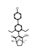 CCc1cc(-c2ccc(Cl)cc2)cc(CC)c1C1=C(O)[C@@]2(C)CC[C@H](O2)C1=O